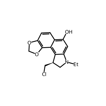 CCN1C[C@@H](CCl)c2c1cc(O)c1ccc3c(c21)OCO3